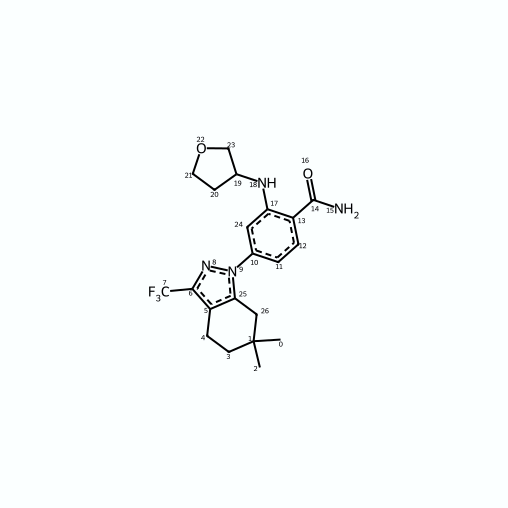 CC1(C)CCc2c(C(F)(F)F)nn(-c3ccc(C(N)=O)c(NC4CCOC4)c3)c2C1